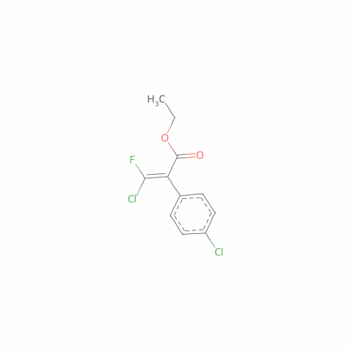 CCOC(=O)/C(=C(\F)Cl)c1ccc(Cl)cc1